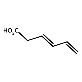 C=C/C=C/CC(=O)O